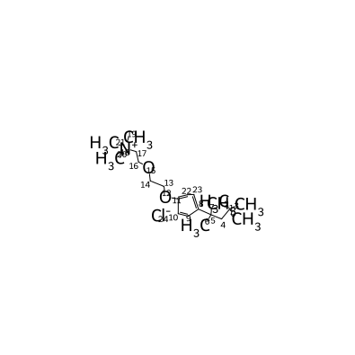 CC(C)(C)CC(C)(C)c1ccc(OCCOCC[N+](C)(C)C)cc1.[Cl-]